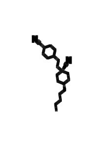 CCCCC[C@H]1CC[C@](C#N)(CCC2CCC(C#N)CC2)CC1